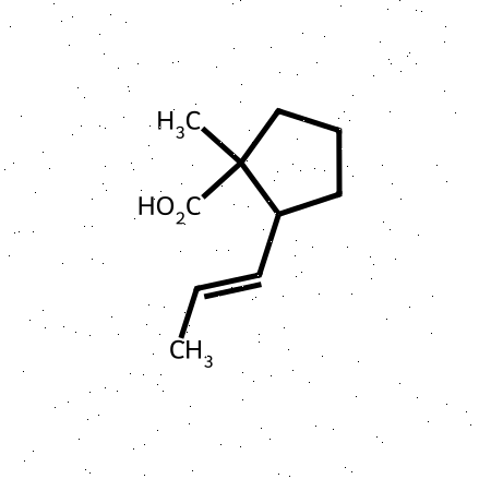 CC=CC1CCCC1(C)C(=O)O